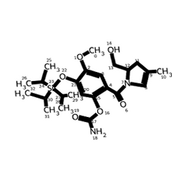 COc1cc(C(=O)N2C=C(C)CC2CO)c(OC(N)=O)cc1O[Si](C(C)C)(C(C)C)C(C)C